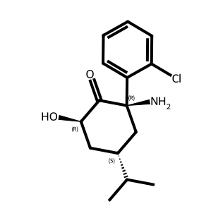 CC(C)[C@@H]1C[C@@H](O)C(=O)[C@](N)(c2ccccc2Cl)C1